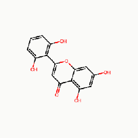 O=c1cc(-c2c(O)cccc2O)oc2cc(O)cc(O)c12